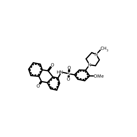 COc1ccc(S(=O)(=O)Nc2cccc3c2C(=O)c2ccccc2C3=O)cc1N1CCN(C)CC1